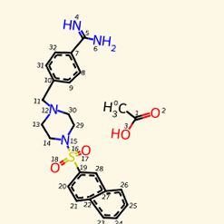 CC(=O)O.N=C(N)c1ccc(CN2CCN(S(=O)(=O)c3ccc4ccccc4c3)CC2)cc1